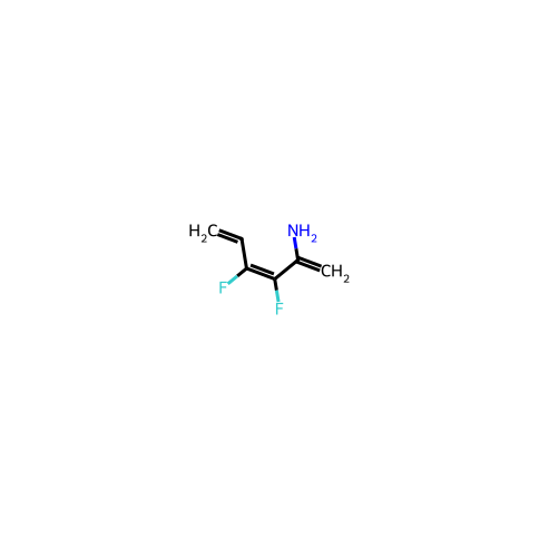 C=C/C(F)=C(/F)C(=C)N